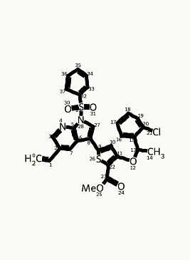 C=Cc1cnc2c(c1)c(-c1cc(OC(C)c3ccccc3Cl)c(C(=O)OC)s1)cn2S(=O)(=O)c1ccccc1